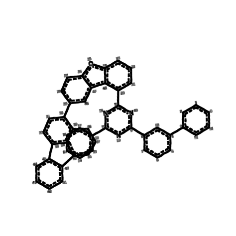 c1ccc(-c2cccc(-c3nc(-c4ccccc4)nc(-c4cccc5oc6ccc(-c7ccc8c9c(cccc79)-c7ccccc7-8)cc6c45)n3)c2)cc1